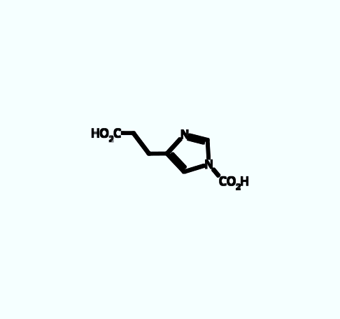 O=C(O)CCc1cn(C(=O)O)cn1